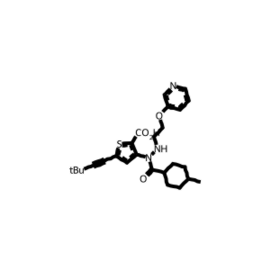 CC1CCC(C(=O)N(NCCOc2cccnc2)c2cc(C#CC(C)(C)C)sc2C(=O)O)CC1